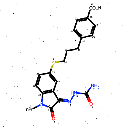 CCCN1C(=O)/C(=N/NC(N)=O)c2cc(SCCCc3ccc(C(=O)O)cc3)ccc21